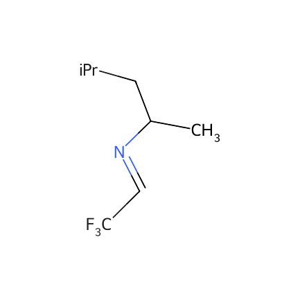 CC(C)CC(C)N=CC(F)(F)F